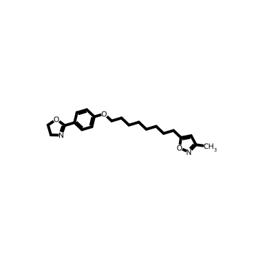 Cc1cc(CCCCCCCCOc2ccc(C3=NCCO3)cc2)on1